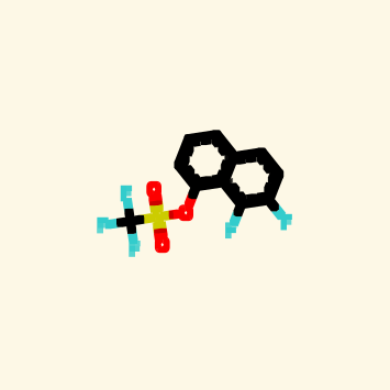 O=S(=O)(Oc1cccc2ccc(F)c(F)c12)C(F)(F)F